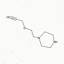 C#CCOCCN1CCNCC1